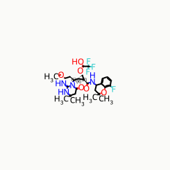 COCC[C@@H]([C@@H]1C[C@H]1C(=O)NC1CC(C)(C)Oc2c(F)cccc21)N1C(=N)NC(C)(C)CC1=O.O=C(O)C(F)(F)F